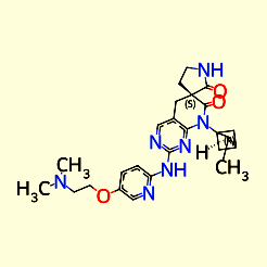 C[C@@H]1C2CC1(N1C(=O)[C@]3(CCNC3=O)Cc3cnc(Nc4ccc(OCCN(C)C)cn4)nc31)C2